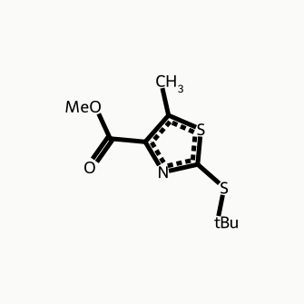 COC(=O)c1nc(SC(C)(C)C)sc1C